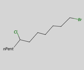 [CH2]CCCCC(Cl)CCCCCCBr